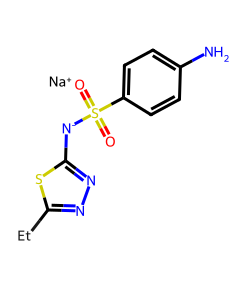 CCc1nnc([N-]S(=O)(=O)c2ccc(N)cc2)s1.[Na+]